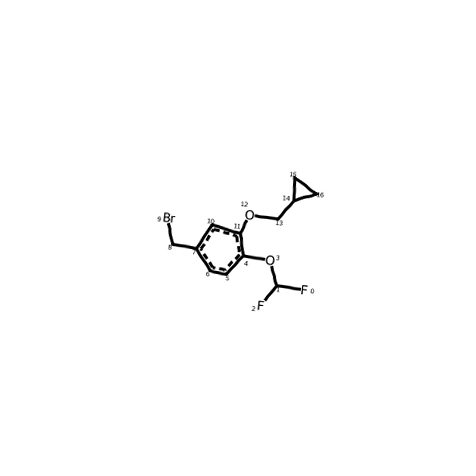 FC(F)Oc1ccc(CBr)cc1OCC1CC1